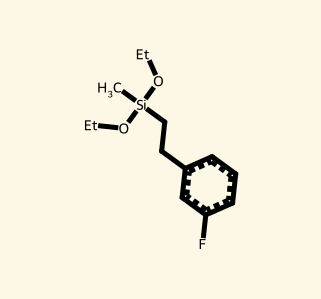 CCO[Si](C)(CCc1cccc(F)c1)OCC